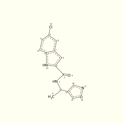 CC(NC(=O)c1cc2cc(Cl)ccc2[nH]1)c1cnoc1